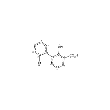 CCCc1c(C(=O)O)cccc1-c1ccccc1CC